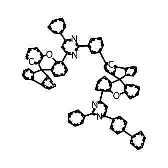 c1ccc(-c2ccc(-c3cc(-c4cccc5c4Oc4ccccc4C54c5ccccc5-c5cc(-c6cccc(-c7nc(-c8ccccc8)cc(-c8cccc9c8Oc8ccccc8C98c9ccccc9-c9ccccc98)n7)c6)ccc54)nc(-c4ccccc4)n3)cc2)cc1